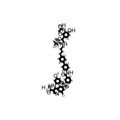 COc1cccc(Nc2c(C(N)=O)cnc3c(C)cc(S(=O)(=O)c4cccc(C(=O)Nc5ccc(-c6ccc(CCCCNCC(O[Si](C)(C)C(C)(C)C)c7ccc(O)c8c7OCC(=O)N8)cc6)cc5)c4)cc23)c1